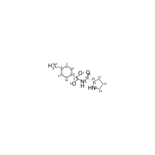 Cc1ccc(S(=O)(=O)NC(=O)[C@@H]2CCCN2)cc1